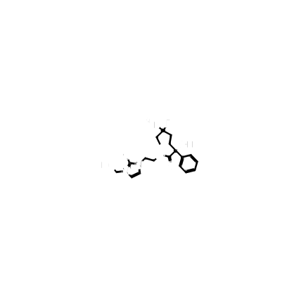 CC[n+]1ccn(CCOC(=O)[C@](O)(c2ccccc2)[C@@H]2CCC(F)(F)C2)c1C.[Br-]